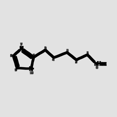 CCCCCCCCCCCC1=NC=C[N]1